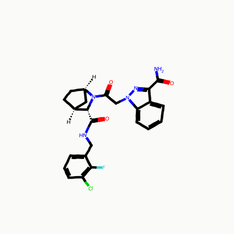 NC(=O)c1nn(CC(=O)N2[C@@H]3CC[C@@H](C3)[C@H]2C(=O)NCc2cccc(Cl)c2F)c2ccccc12